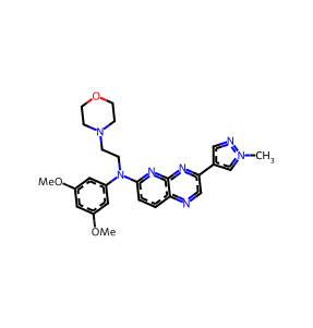 COc1cc(OC)cc(N(CCN2CCOCC2)c2ccc3ncc(-c4cnn(C)c4)nc3n2)c1